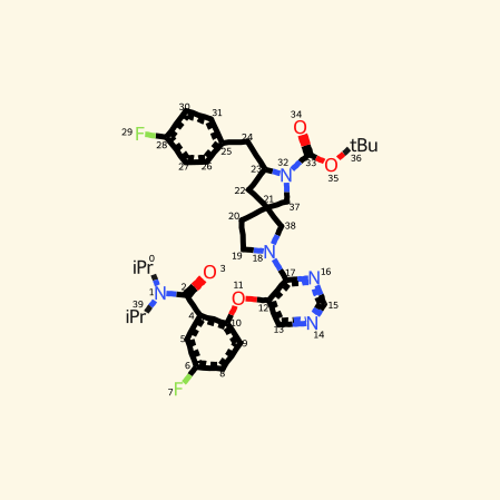 CC(C)N(C(=O)c1cc(F)ccc1Oc1cncnc1N1CCC2(CC(Cc3ccc(F)cc3)N(C(=O)OC(C)(C)C)C2)C1)C(C)C